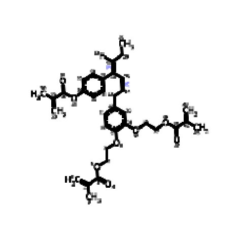 C=C(C)C(=O)OCCOc1ccc(C/C=C\C(=C(\F)CC)c2ccc(OC(=O)C(=C)C)cc2)cc1OCCOC(=O)C(=C)C